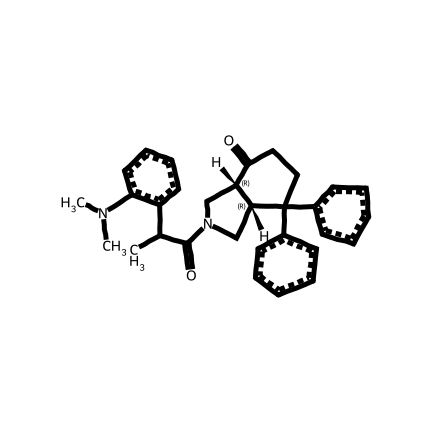 CC(C(=O)N1C[C@@H]2C(=O)CCC(c3ccccc3)(c3ccccc3)[C@@H]2C1)c1ccccc1N(C)C